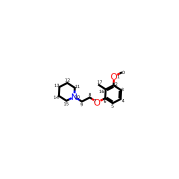 COc1cccc(OCCN2CCCCC2)c1C